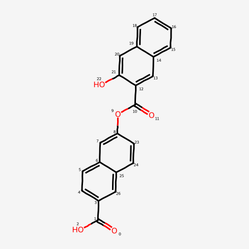 O=C(O)c1ccc2cc(OC(=O)c3cc4ccccc4cc3O)ccc2c1